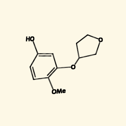 COc1ccc(O)cc1OC1CCOC1